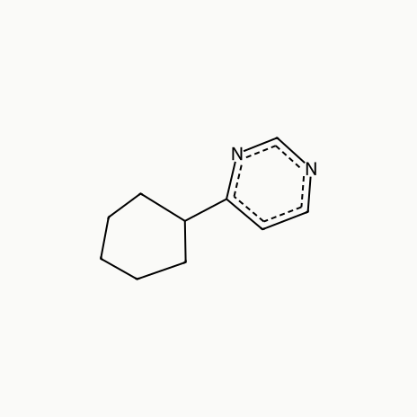 c1cc(C2CCCCC2)ncn1